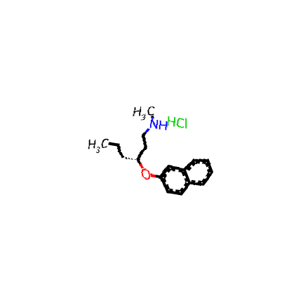 CCC[C@H](CCNC)Oc1ccc2ccccc2c1.Cl